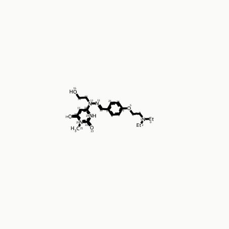 CCN(CC)CCOc1ccc(/C=N/N(CCO)c2cc(=O)n(C)c(=O)[nH]2)cc1